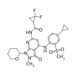 Cn1c(=O)c2c(Nc3ccc(C4CC4)cc3S(C)(=O)=O)cc(NC(=O)C3CC3(F)F)nc2n1C1CCCCO1